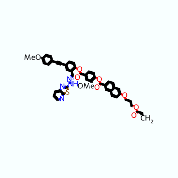 C=CC(=O)OCCCOc1ccc2cc(C(=O)Oc3ccc(C(=O)Oc4ccc(C#Cc5ccc(OC)cc5)cc4/C=N/Nc4nc5cccnc5s4)cc3OC)ccc2c1